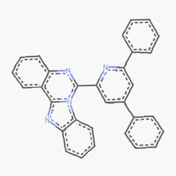 c1ccc(-c2cc(-c3ccccc3)nc(-c3nc4ccccc4c4nc5ccccc5n34)c2)cc1